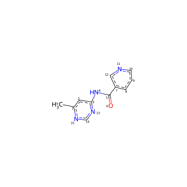 Cc1cc(NC(=O)c2cccnc2)ncn1